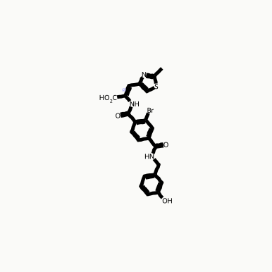 Cc1nc(/C=C(\NC(=O)c2ccc(C(=O)NCc3cccc(O)c3)cc2Br)C(=O)O)cs1